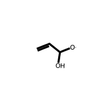 C=CC([O])O